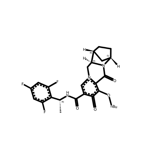 CCCCOc1c2n(cc(C(=O)N[C@H](C)c3c(F)cc(F)cc3F)c1=O)C[C@H]1[C@@H]3CC[C@@H](C3)N1C2=O